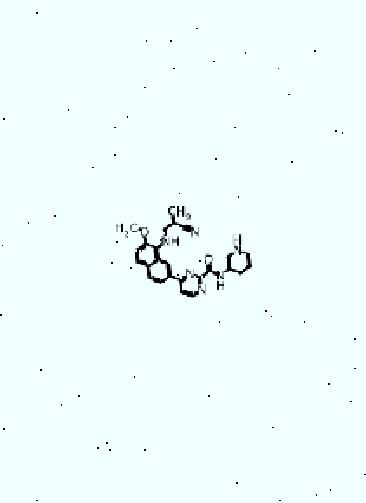 C=C(C#N)CNc1c(OC)ccc2ccc(-c3ccnc(C(=O)N[C@@H]4CCCNC4)n3)cc12